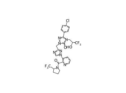 O=C(c1ncccc1-n1cnc(Cn2nc(-c3ccc(Cl)cc3)n(C[C@H](O)C(F)(F)F)c2=O)n1)N1CCCC1C(F)(F)F